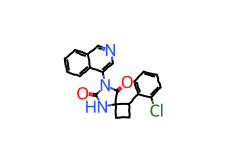 O=C1NC2(CCC2c2ccccc2Cl)C(=O)N1c1cncc2ccccc12